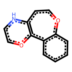 c1ccc2c3occ[nH]c=3ccoc2c1